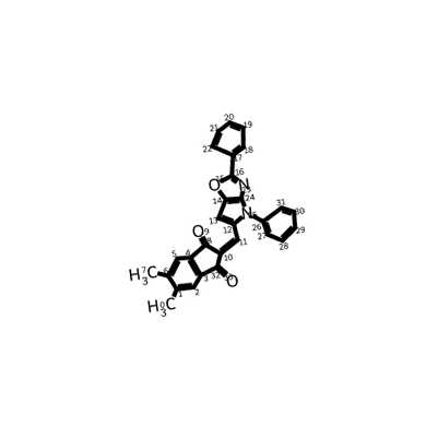 Cc1cc2c(cc1C)C(=O)C(=Cc1cc3oc(-c4ccccc4)nc3n1-c1ccccc1)C2=O